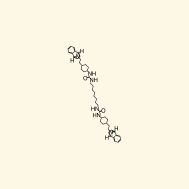 O=C(NCCCCCCCCNC(=O)NC1CCC(CCN2[C@@H]3CC[C@H]2c2ccccc23)CC1)NC1CCC(CCN2[C@@H]3CC[C@H]2c2ccccc23)CC1